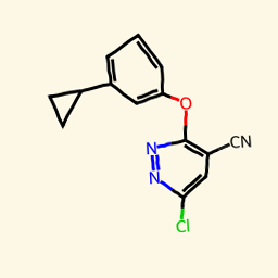 N#Cc1cc(Cl)nnc1Oc1cccc(C2CC2)c1